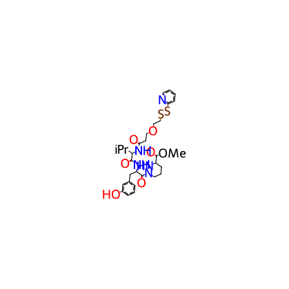 COC(=O)C1CCCN(C(=O)C(Cc2cccc(O)c2)NC(=O)C(NC(=O)CCOCCSSc2ccccn2)C(C)C)N1